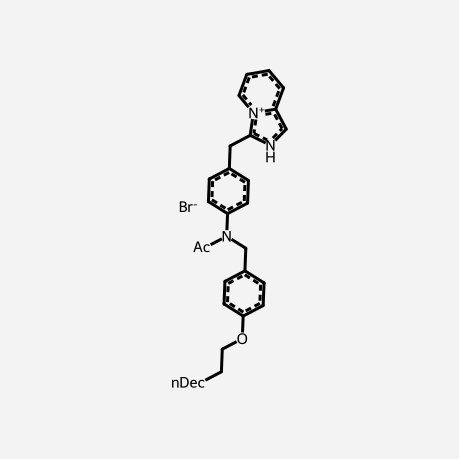 CCCCCCCCCCCCOc1ccc(CN(C(C)=O)c2ccc(Cc3[nH]cc4cccc[n+]34)cc2)cc1.[Br-]